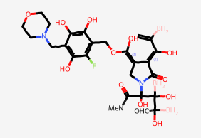 BC(=C)/C(O)=C1/C(=O)N(C(O)(C(=O)NC)C(B)(O)C(B)(O)C=O)C/C1=C(/O)OCc1c(O)c(O)c(CN2CCOCC2)c(O)c1F